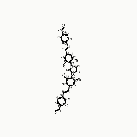 C=Cc1ccc(/C=C/c2cc(C)c(N3C=[N+](c4c(C)cc(/C=C/c5ccc(C=C)cc5)cc4C)CC3)c(C)c2)cc1